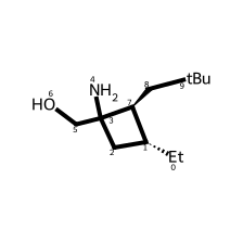 CC[C@@H]1CC(N)(CO)[C@H]1CC(C)(C)C